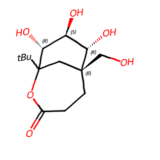 CC(C)(C)C12C[C@@](CO)(CCC(=O)O1)[C@@H](O)[C@H](O)[C@H]2O